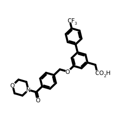 O=C(O)Cc1cc(OCc2ccc(C(=O)N3CCOCC3)cc2)cc(-c2ccc(C(F)(F)F)cc2)c1